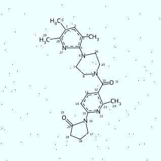 Cc1cc(C)c(N2CCN(C(=O)c3ccc(N4CCCC4=O)nc3C)CC2)nc1C